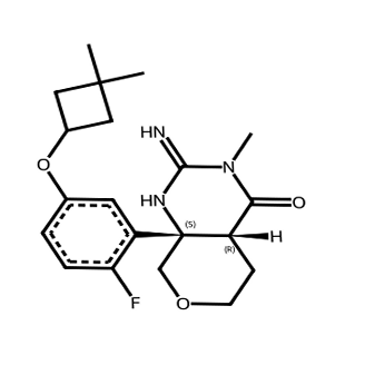 CN1C(=N)N[C@@]2(c3cc(OC4CC(C)(C)C4)ccc3F)COCC[C@H]2C1=O